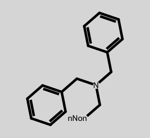 CCCCCCCCCCN(Cc1ccccc1)Cc1ccccc1